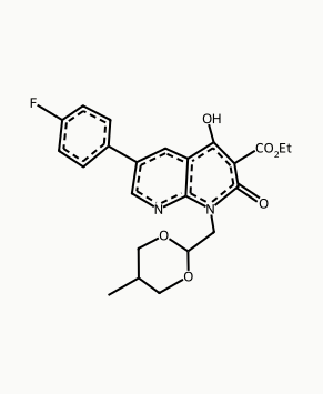 CCOC(=O)c1c(O)c2cc(-c3ccc(F)cc3)cnc2n(CC2OCC(C)CO2)c1=O